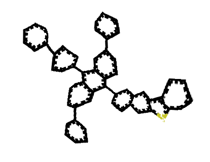 c1ccc(-c2ccc(-c3c4ccc(-c5ccccc5)cc4c(-c4ccc5cc6sc7ccccc7c6cc5c4)c4ccc(-c5ccccc5)cc34)cc2)cc1